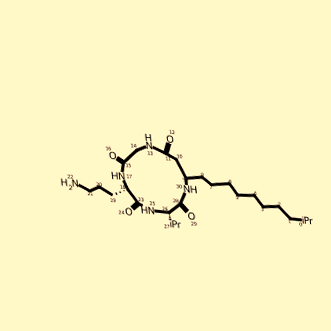 CC(C)CCCCCCCCC1CC(=O)NCC(=O)N[C@@H](CCCN)C(=O)N[C@@H](C(C)C)C(=O)N1